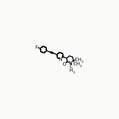 CN1C(=O)C(c2ccc(C#Cc3ccc(F)cc3)cn2)CCC1(C)C